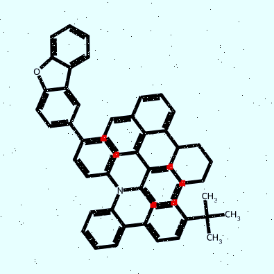 CC(C)(C)c1ccc(-c2ccccc2N(c2ccc(-c3ccc4oc5ccccc5c4c3)cc2)c2ccccc2-c2cccc3cccc(C4CCCCC4)c23)cc1